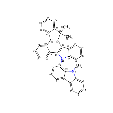 Cn1c2ccccc2c2cccc(-n3c4ccccc4c4c5c(c6ccccc6c43)-c3ccccc3C5(C)C)c21